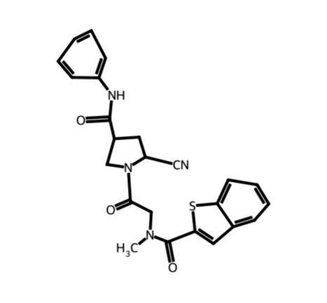 CN(CC(=O)N1CC(C(=O)Nc2ccccc2)CC1C#N)C(=O)c1cc2ccccc2s1